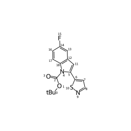 CC(C)(C)OC(=O)n1c(-c2ccns2)cc2cc(F)ccc21